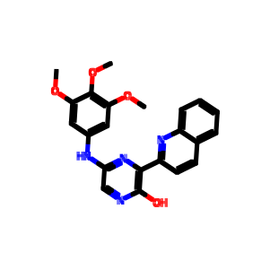 COc1cc(Nc2cnc(O)c(-c3ccc4ccccc4n3)n2)cc(OC)c1OC